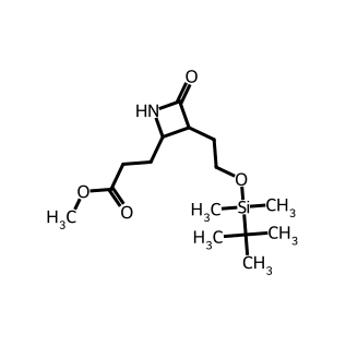 COC(=O)CCC1NC(=O)C1CCO[Si](C)(C)C(C)(C)C